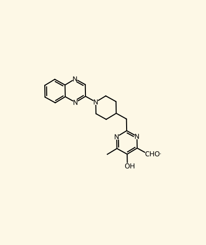 Cc1nc(CC2CCN(c3cnc4ccccc4n3)CC2)nc([C]=O)c1O